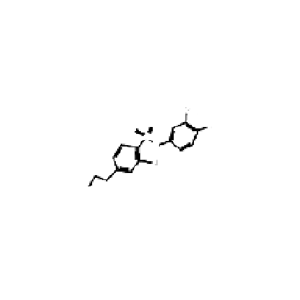 Nc1ccc(OS(=O)(=O)c2ccc(CCO)cc2N)cc1[N+](=O)[O-]